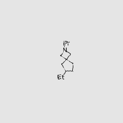 CCC1CCC2(C1)CN(C(C)C)C2